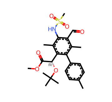 COC(=O)[C@@H](OC(C)(C)C)c1c(C)c(NS(C)(=O)=O)c(C=O)c(C)c1-c1ccc(C)cc1